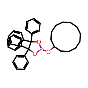 c1ccc(C2(c3ccccc3)OP(OC3CCCCCCCCCCC3)OC2(c2ccccc2)c2ccccc2)cc1